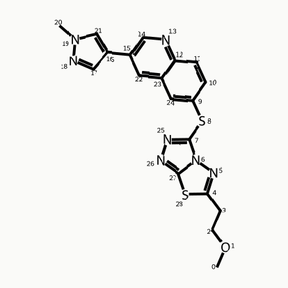 COCCc1nn2c(Sc3ccc4ncc(-c5cnn(C)c5)cc4c3)nnc2s1